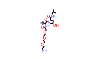 CNCCOCCOCCOCC(=O)NC(C(=O)N1CC(O)CC1C(=O)NCC(C)C)C(C)(C)C